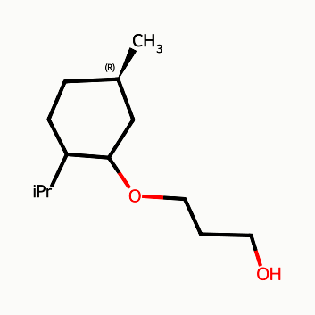 CC(C)C1CC[C@@H](C)CC1OCCCO